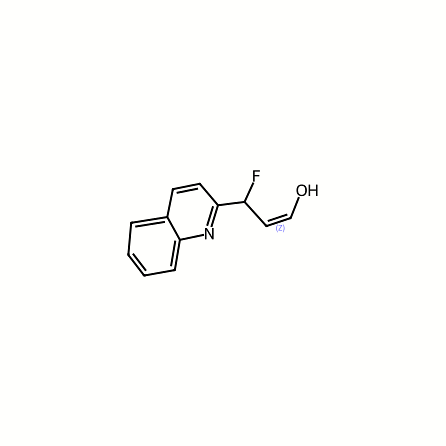 O/C=C\C(F)c1ccc2ccccc2n1